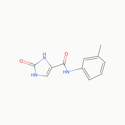 Cc1cccc(NC(=O)c2c[nH]c(=O)[nH]2)c1